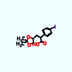 CC1(C)OC[C@H](CC(C(=O)O)c2ccc(I)cc2)O1